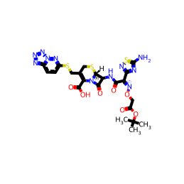 CC(C)(C)OC(=O)CO/N=C(\C(=O)NC1C(=O)N2C(C(=O)O)=C(CSc3ccc4nnnn4n3)CS[C@H]12)c1nsc(N)n1